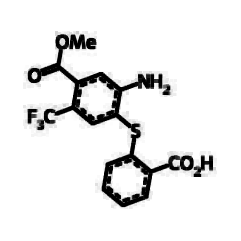 COC(=O)c1cc(N)c(Sc2ccccc2C(=O)O)cc1C(F)(F)F